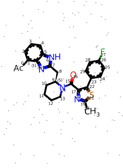 CC(=O)c1cccc2[nH]c(C[C@@H]3CCCCN3C(=O)c3nc(C)sc3-c3ccc(F)cc3)nc12